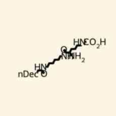 CCCCCCCCCCCC(=O)NCCCCCCNC(=O)C(N)CCCCNC(=O)O